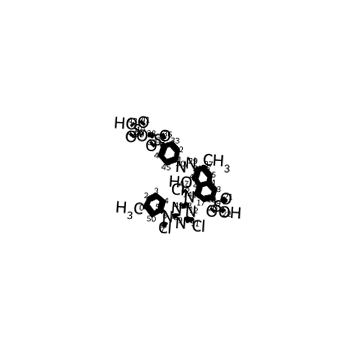 Cc1cccc(N(Cl)c2nc(Cl)nc(N(Cl)c3cc(S(=O)(=O)O)cc4cc(C)c(N=Nc5ccc(S(=O)(=O)COS(=O)(=O)O)cc5)c(O)c34)n2)c1